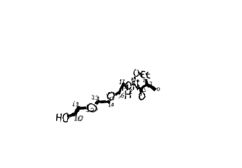 C=C(C)C(N)=O.CCOCC.OCCOCCOCCO